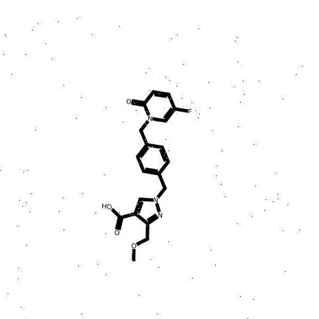 COCc1nn(Cc2ccc(Cn3cc(F)ccc3=O)cc2)cc1C(=O)O